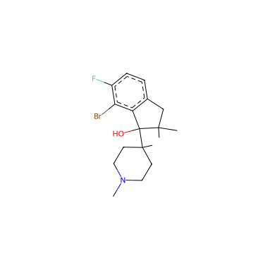 CN1CCC(C)(C2(O)c3c(ccc(F)c3Br)CC2(C)C)CC1